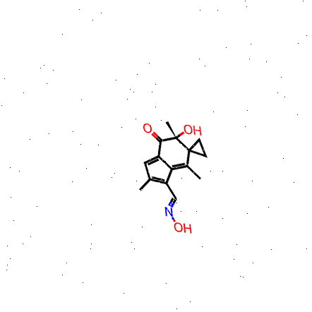 CC1=C(C=NO)C2=C(C)C3(CC3)[C@@](C)(O)C(=O)C2=C1